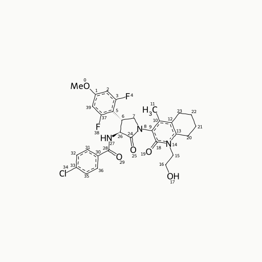 COc1cc(F)c([C@@H]2CN(c3c(C)c4c(n(CCO)c3=O)CCCC4)C(=O)[C@H]2NC(=O)c2ccc(Cl)cc2)c(F)c1